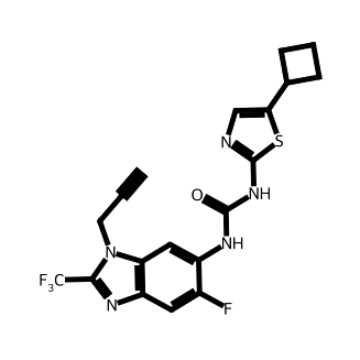 C#CCn1c(C(F)(F)F)nc2cc(F)c(NC(=O)Nc3ncc(C4CCC4)s3)cc21